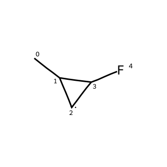 CC1[CH]C1F